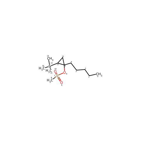 CCCCCC1(OS(C)(=O)=O)CC1[Si](C)(C)C